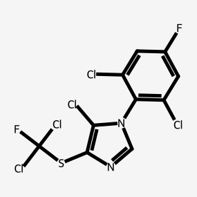 Fc1cc(Cl)c(-n2cnc(SC(F)(Cl)Cl)c2Cl)c(Cl)c1